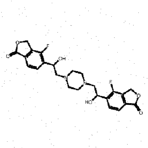 O=C1OCc2c1ccc(C(O)CN1CCN(CC(O)c3ccc4c(c3F)COC4=O)CC1)c2F